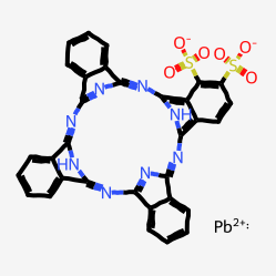 O=S(=O)([O-])c1ccc2c3nc4nc(nc5[nH]c(nc6nc(nc([nH]3)c2c1S(=O)(=O)[O-])-c1ccccc1-6)c1ccccc51)-c1ccccc1-4.[Pb+2]